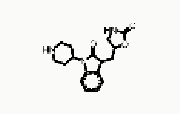 O=C1NCC(CC2C(=O)N(C3CCNCC3)c3ccccc32)O1